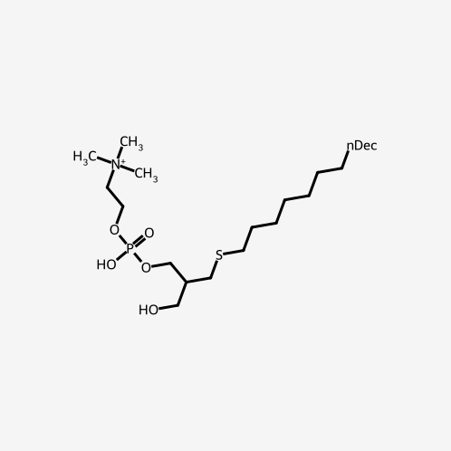 CCCCCCCCCCCCCCCCCSCC(CO)COP(=O)(O)OCC[N+](C)(C)C